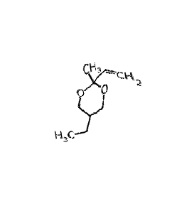 C=CC1(C)OCC(CC)CO1